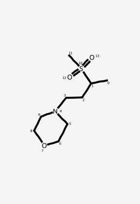 CC(CCN1CCOCC1)S(C)(=O)=O